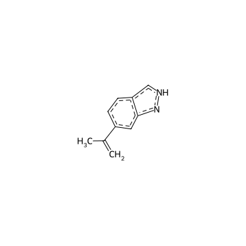 C=C(C)c1ccc2c[nH]nc2c1